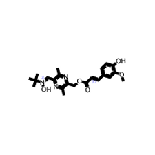 COc1cc(/C=C/C(=O)OCc2nc(C)c(/C=[N+](\O)C(C)(C)C)nc2C)ccc1O